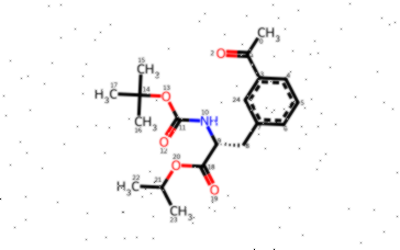 CC(=O)c1cccc(C[C@@H](NC(=O)OC(C)(C)C)C(=O)OC(C)C)c1